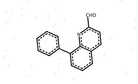 O=Cc1ccc2cccc(-c3ccccc3)c2n1